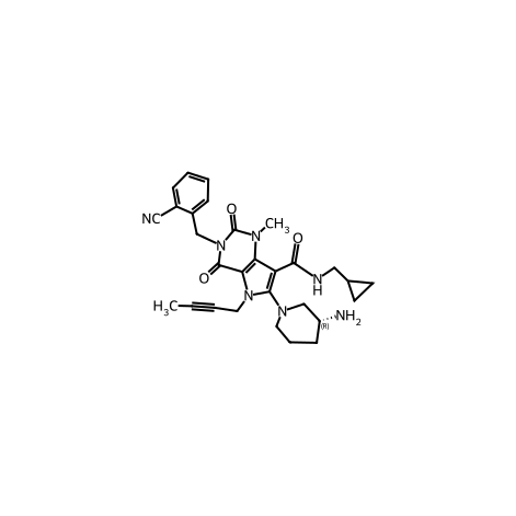 CC#CCn1c(N2CCC[C@@H](N)C2)c(C(=O)NCC2CC2)c2c1c(=O)n(Cc1ccccc1C#N)c(=O)n2C